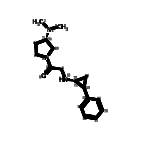 CN(C)[C@H]1CCN(C(=O)CN[C@H]2CC2c2ccccc2)C1